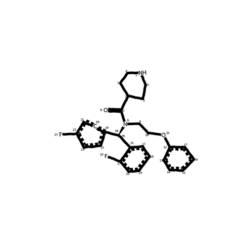 O=C(C1CCNCC1)N(CCOc1ccccc1)[C@H](c1ccc(F)cc1)c1ccccc1F